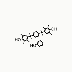 Cc1cc(C(C)(C)c2ccc(C(C)(C)c3cc(C)c(O)c(C)c3C)cc2)c(C)c(C)c1O.Oc1ccccc1